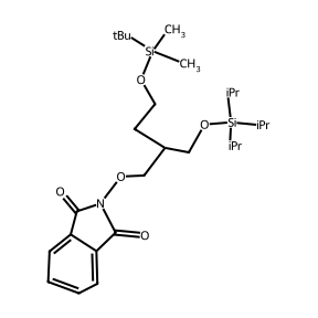 CC(C)[Si](OCC(CCO[Si](C)(C)C(C)(C)C)CON1C(=O)c2ccccc2C1=O)(C(C)C)C(C)C